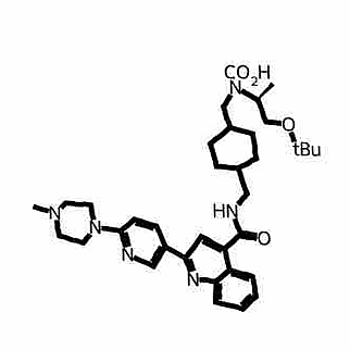 C[C@@H](COC(C)(C)C)N(CC1CCC(CNC(=O)c2cc(-c3ccc(N4CCN(C)CC4)nc3)nc3ccccc23)CC1)C(=O)O